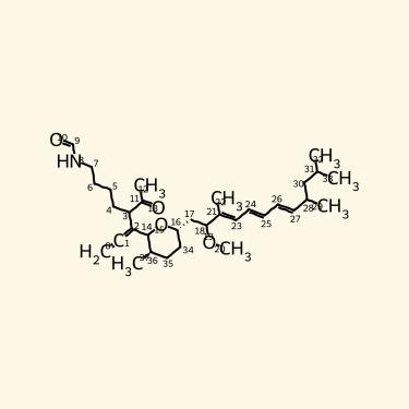 C=C=C(C(CCCCNC=O)C(C)=O)C1O[C@H](CC(OC)/C(C)=C/C=C/C=C/C(C)CC(C)C)CC[C@H]1C